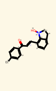 CCc1ccc(C(=O)/C=C/c2cccc3c2N(O)[B]C3)cc1